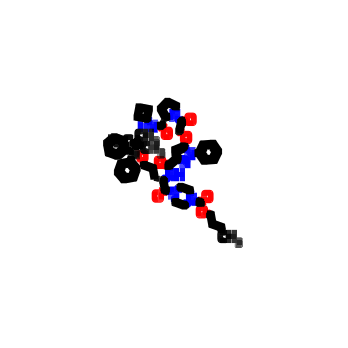 CCCCOC(=O)N1CCN(C(=O)[C@H](CCCO[Si](c2ccccc2)(c2ccccc2)C(C)(C)C)NC(=O)c2cc(OCC(=O)N3CCC[C@H]3C(=O)NC3CCC3)n(-c3ccccc3)n2)CC1